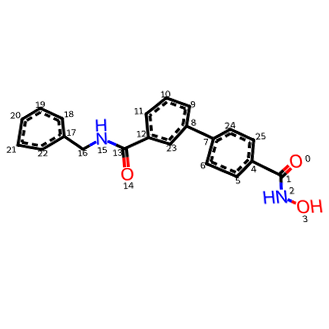 O=C(NO)c1ccc(-c2cccc(C(=O)NCc3ccccc3)c2)cc1